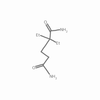 CCC(CC)(CCC(N)=O)C(N)=O